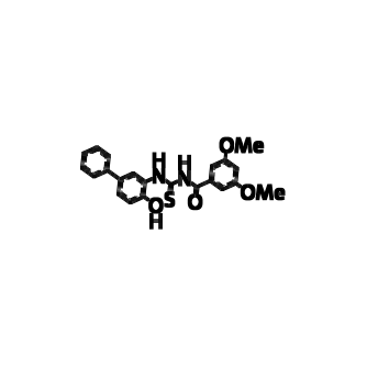 COc1cc(OC)cc(C(=O)NC(=S)Nc2cc(-c3ccccc3)ccc2O)c1